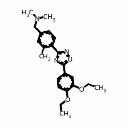 CCOc1ccc(-c2nc(-c3ccc(CN(C)C)cc3C)no2)cc1OCC